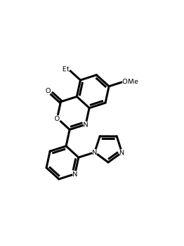 CCc1cc(OC)cc2nc(-c3cccnc3-n3ccnc3)oc(=O)c12